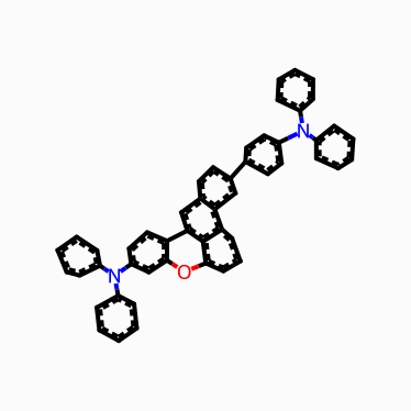 c1ccc(N(c2ccccc2)c2ccc(-c3ccc4cc5c6c(cccc6c4c3)Oc3cc(N(c4ccccc4)c4ccccc4)ccc3-5)cc2)cc1